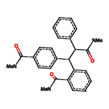 CNC(=O)c1ccc(C(c2cc[c]cc2C(=O)NC)C(C(=O)NC)c2ccccc2)cc1